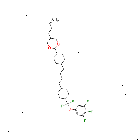 C=CCCC1COC(C2CCC(CCCCC3CCC(C(F)(F)Oc4cc(F)c(F)c(F)c4)CC3)CC2)OC1